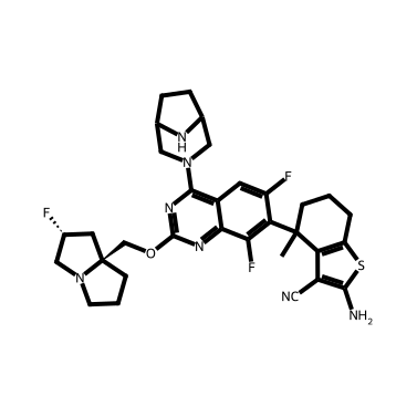 CC1(c2c(F)cc3c(N4CC5CCC(C4)N5)nc(OC[C@@]45CCCN4C[C@H](F)C5)nc3c2F)CCCc2sc(N)c(C#N)c21